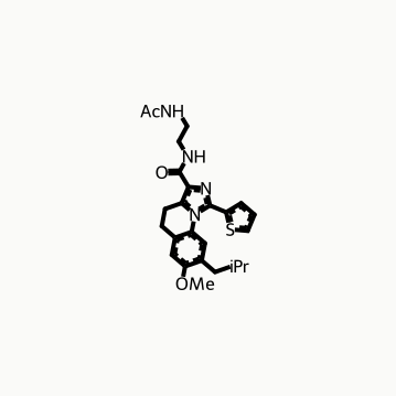 COc1cc2c(cc1CC(C)C)-n1c(-c3cccs3)nc(C(=O)NCCNC(C)=O)c1CC2